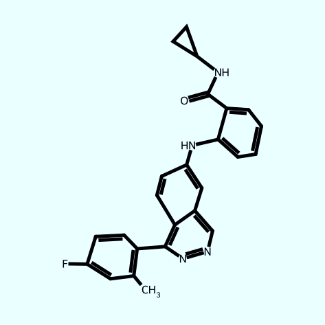 Cc1cc(F)ccc1-c1nncc2cc(Nc3ccccc3C(=O)NC3CC3)ccc12